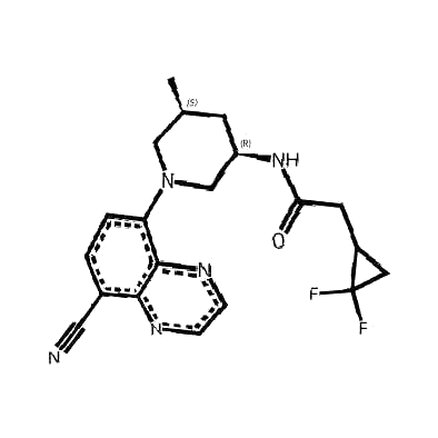 C[C@H]1C[C@@H](NC(=O)CC2CC2(F)F)CN(c2ccc(C#N)c3nccnc23)C1